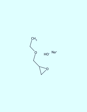 CCOCC1CO1.[Na+].[OH-]